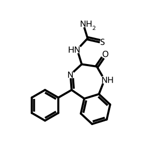 NC(=S)NC1N=C(c2ccccc2)c2ccccc2NC1=O